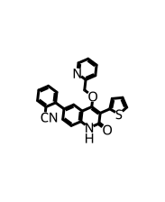 N#Cc1ccccc1-c1ccc2[nH]c(=O)c(-c3cccs3)c(OCc3ccccn3)c2c1